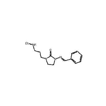 CCNCCCN1CCN(N=Cc2ccccc2)C1=O